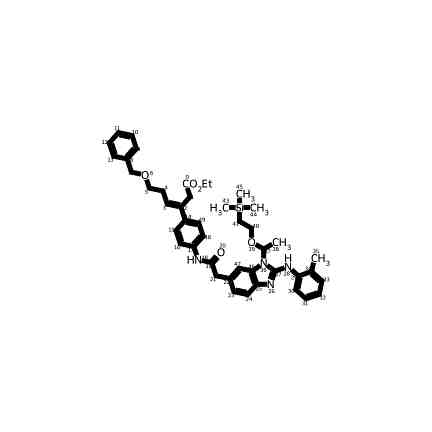 CCOC(=O)CC(=CCCOCc1ccccc1)c1ccc(NC(=O)Cc2ccc3nc(Nc4ccccc4C)n(C(C)OCC[Si](C)(C)C)c3c2)cc1